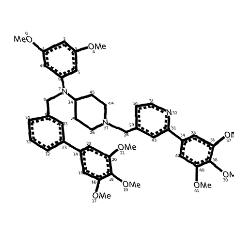 COc1cc(OC)cc(N(Cc2cccc(-c3cc(OC)c(OC)c(OC)c3)c2)C2CCN(Cc3ccnc(-c4cc(OC)c(OC)c(OC)c4)c3)CC2)c1